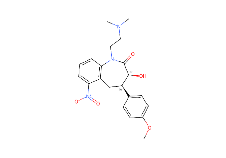 COc1ccc([C@H]2Cc3c(cccc3[N+](=O)[O-])N(CCN(C)C)C(=O)[C@H]2O)cc1